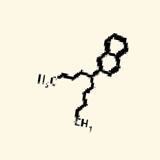 CCCCCC(CCCC)c1ccc2ccccc2c1